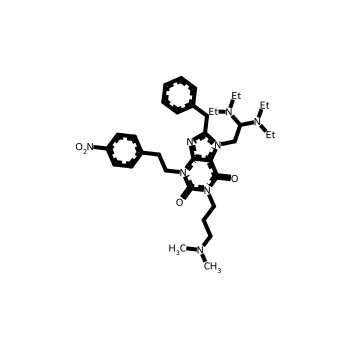 CCN(CC)C(Cn1c(Cc2ccccc2)nc2c1c(=O)n(CCCN(C)C)c(=O)n2CCc1ccc([N+](=O)[O-])cc1)N(CC)CC